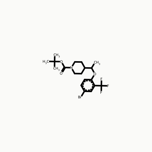 CC(Oc1ccc(Br)cc1C(F)(F)F)C1CCN(C(=O)OC(C)(C)C)CC1